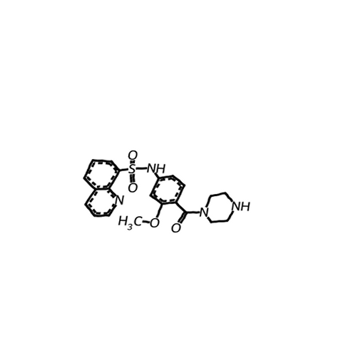 COc1cc(NS(=O)(=O)c2cccc3cccnc23)ccc1C(=O)N1CCNCC1